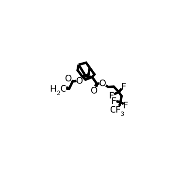 C=CC(=O)OC12CC3CC(C1)CC(C(=O)OCCC(F)(F)CC(F)(F)C(F)(F)F)(C3)C2